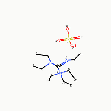 CCN=C(N(CC)CC)[N+](CC)(CC)CC.O=S(=O)([O-])O